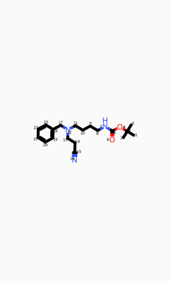 CC(C)(C)OC(=O)NCCCCN(CCC#N)Cc1ccccc1